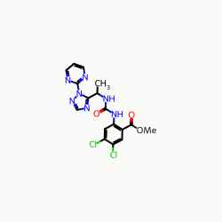 COC(=O)c1cc(Cl)c(Cl)cc1NC(=O)NC(C)c1ncnn1-c1ncccn1